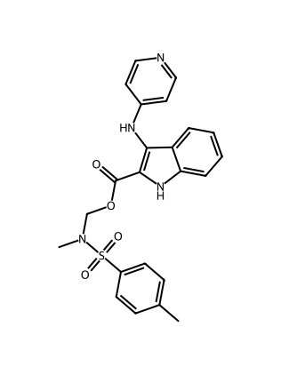 Cc1ccc(S(=O)(=O)N(C)COC(=O)c2[nH]c3ccccc3c2Nc2ccncc2)cc1